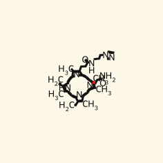 C=CC1=C(C)c2cc3c(C)c(C)c(cc4nc(cc5[nH]c(cc1n2)c(C)c5C=C)C(C)=C4CCC(=O)NCCCn1ccnc1)n3CCC(N)=O